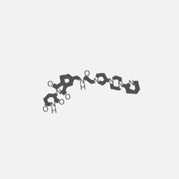 O=C(CN1CCC(N2CCN(c3ccccn3)CC2)C1)NCc1ccc2c(c1)C(=O)N(C1CCC(=O)NC1=O)C2=O